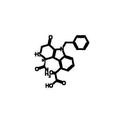 NC(=O)[C@@H]1[SH]CC(=O)c2c1c1c(C(=O)C(=O)O)cccc1n2Cc1ccccc1